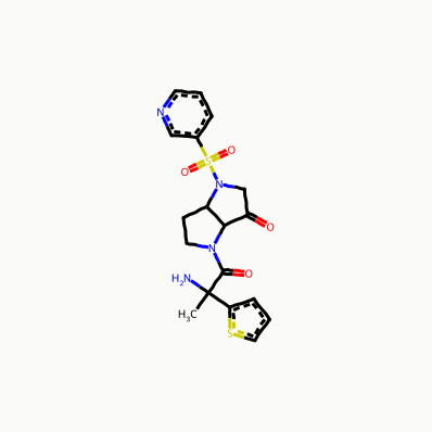 CC(N)(C(=O)N1CCC2C1C(=O)CN2S(=O)(=O)c1cccnc1)c1cccs1